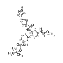 COBNc1ccc(N2CCC[C@@H](NC(=O)OC(C)(C)C)C2)c(NC(=O)c2csc(-c3cn[nH]c3)n2)c1